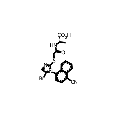 C[C@H](NC(=O)CSc1ncc(Br)n1-c1ccc(C#N)c2ccccc12)C(=O)O